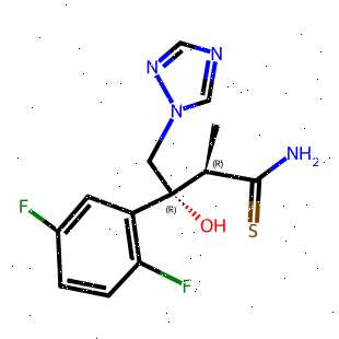 C[C@@H](C(N)=S)[C@](O)(Cn1cncn1)c1cc(F)ccc1F